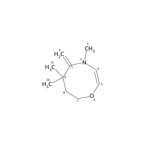 C=C1N(C)/C=C\OCCC1(C)C